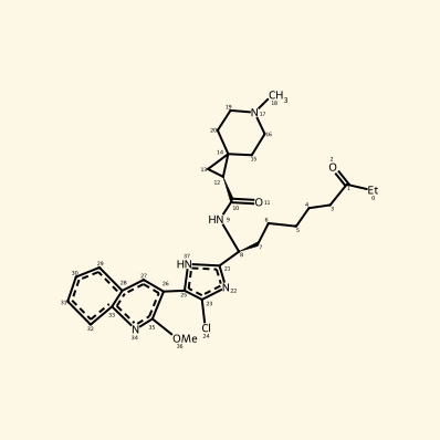 CCC(=O)CCCCC[C@H](NC(=O)[C@H]1CC12CCN(C)CC2)c1nc(Cl)c(-c2cc3ccccc3nc2OC)[nH]1